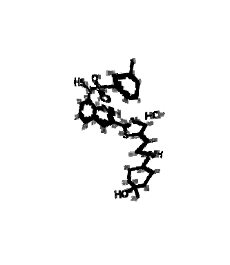 Cc1cccc(S(=O)(=O)N(S)c2cccc3cc(C4=NCC(CCNC5CCC(C)(O)CC5)S4)[nH]c23)c1.Cl